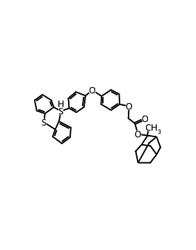 CC1(OC(=O)COc2ccc(Oc3ccc([SH]4c5ccccc5Sc5ccccc54)cc3)cc2)C2CC3CC(C2)CC1C3